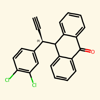 C#C[C@H](c1ccc(Cl)c(Cl)c1)C1c2ccccc2C(=O)c2ccccc21